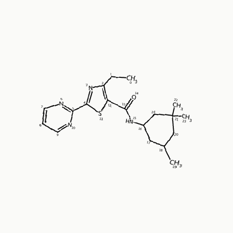 CCc1nc(-c2ncccn2)sc1C(=O)NC1CC(C)CC(C)(C)C1